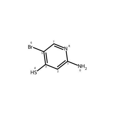 Nc1cc(S)c(Br)cn1